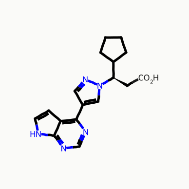 O=C(O)C[C@H](C1CCCC1)n1cc(-c2ncnc3[nH]ccc23)cn1